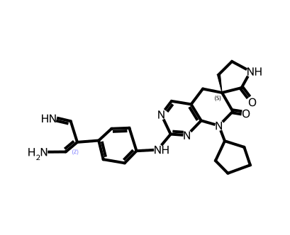 N=C/C(=C\N)c1ccc(Nc2ncc3c(n2)N(C2CCCC2)C(=O)[C@]2(CCNC2=O)C3)cc1